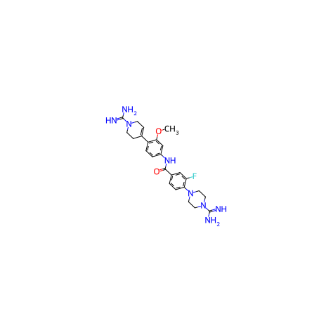 COc1cc(NC(=O)c2ccc(N3CCN(C(=N)N)CC3)c(F)c2)ccc1C1=CCN(C(=N)N)CC1